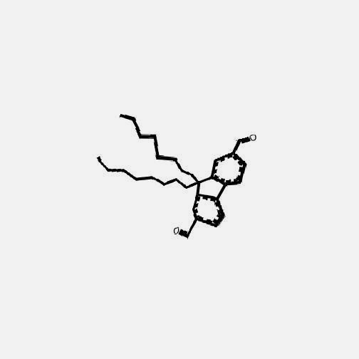 CCCCCCCCC1(CCCCCCCC)c2cc([C]=O)ccc2-c2ccc([C]=O)cc21